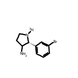 [2H]N1CCC(N)[C@H]1c1cccc(Br)c1